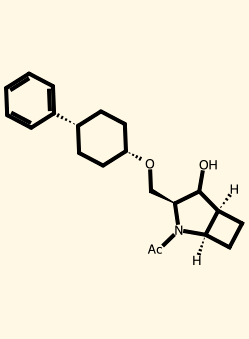 CC(=O)N1[C@@H]2CC[C@@H]2C(O)[C@@H]1CO[C@H]1CC[C@@H](c2ccccc2)CC1